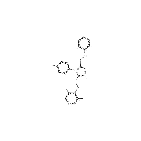 Fc1ccc(-n2c(CNc3ccccc3)nnc2SCc2c(F)cccc2F)cc1